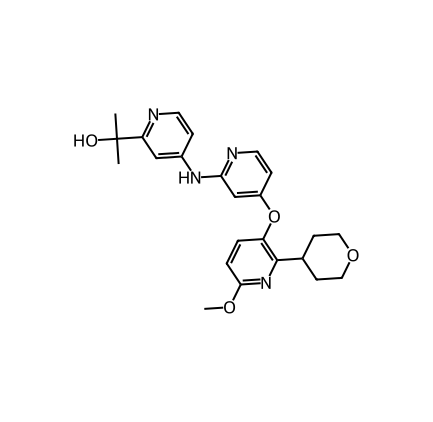 COc1ccc(Oc2ccnc(Nc3ccnc(C(C)(C)O)c3)c2)c(C2CCOCC2)n1